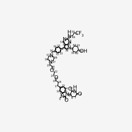 Cn1c(=O)n([C@H]2CCC(=O)NC2=O)c2ccc(CCCOCCOCCN3CCN(Cc4ccc(-c5cn([C@H]6CC[C@H](O)CC6)c6nc(NCCC(F)(F)F)ncc56)cc4)CC3)cc21